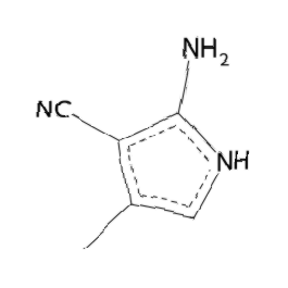 Cc1c[nH]c(N)c1C#N